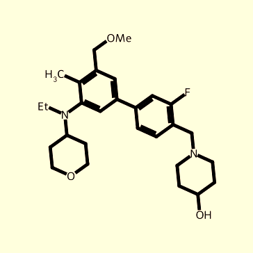 CCN(c1cc(-c2ccc(CN3CCC(O)CC3)c(F)c2)cc(COC)c1C)C1CCOCC1